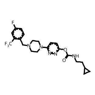 O=C(NCCC1CC1)Oc1ccc(N2CCN(Cc3ccc(F)cc3C(F)(F)F)CC2)nn1